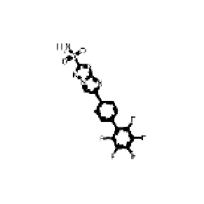 NS(=O)(=O)c1nn2cc(-c3ccc(-c4c(F)c(F)c(F)c(F)c4F)cc3)nc2s1